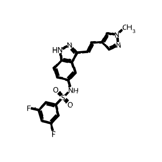 Cn1cc(/C=C/c2n[nH]c3ccc(NS(=O)(=O)c4cc(F)cc(F)c4)cc23)cn1